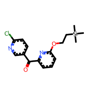 C[Si](C)(C)CCOc1cccc(C(=O)c2ccc(Cl)nc2)n1